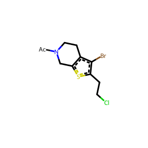 CC(=O)N1CCc2c(sc(CCCl)c2Br)C1